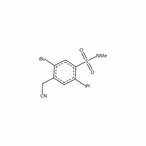 CCC(C)c1cc(S(=O)(=O)NC)c(C(C)C)cc1CC#N